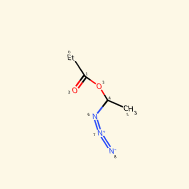 CCC(=O)OC(C)N=[N+]=[N-]